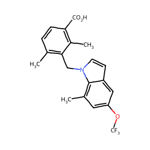 Cc1ccc(C(=O)O)c(C)c1Cn1ccc2cc(OC(F)(F)F)cc(C)c21